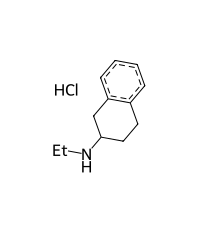 CCNC1CCc2ccccc2C1.Cl